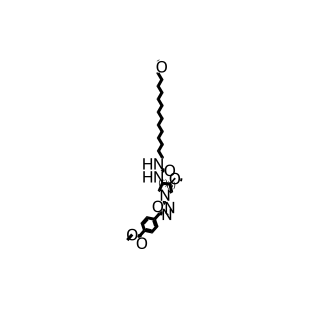 COCCCCCCCCCCCCCCNC(=O)N[C@H]1CN(c2nnc(-c3ccc(C(=O)OC)cc3)o2)C[C@@H]1OC